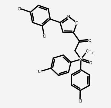 CS(=O)(CC(=O)c1cc(-c2ccc(Cl)cc2Cl)no1)(c1ccc(Cl)cc1)c1ccc(Cl)cc1